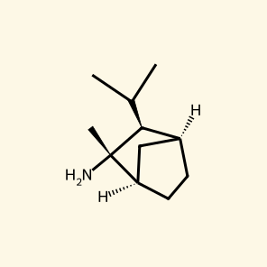 CC(C)[C@H]1[C@H]2CC[C@H](C2)[C@]1(C)N